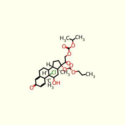 CCCOC(=O)O[C@]1(C(=O)COC(=O)OC(C)C)CC[C@H]2[C@@H]3CCC4=CC(=O)C=C[C@]4(C)[C@@]3(Cl)C(O)C[C@@]21C